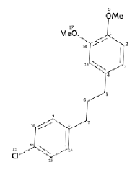 COc1ccc([CH]CCc2ccc(Cl)cc2)cc1OC